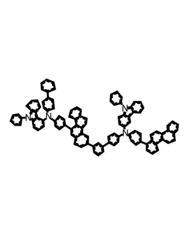 c1ccc(-c2ccc(N(c3ccc(-c4cc5ccc(-c6cccc(-c7ccc(N(c8ccc(-c9cccc%10c9ccc9c%11ccccc%11ccc%109)cc8)c8ccc9c(c8)c8ccccc8n9-c8ccccc8)cc7)c6)cc5c5ccc6ccccc6c45)cc3)c3cccc4c3c3ccccc3n4-c3ccccc3)cc2)cc1